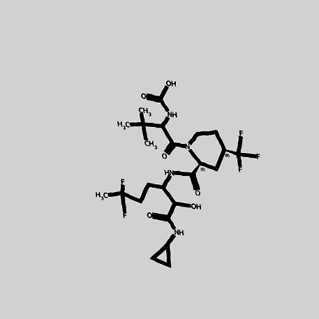 CC(F)(F)CCC(NC(=O)[C@@H]1C[C@H](C(F)(F)F)CCN1C(=O)C(NC(=O)O)C(C)(C)C)C(O)C(=O)NC1CC1